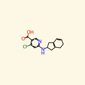 O=C(O)c1cnc(NC2CC3=C(CCC=C3)C2)cc1Cl